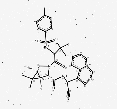 Cc1ccc(S(=O)(=O)NC(C(=O)N2C[C@H]3[C@@H]([C@H]2C(=O)NC(C#N)c2cncc4ccccc24)C3(C)C)C(C)(C)C)cc1